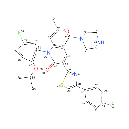 CC(C)=Cc1c(C(=O)N2CCNCC2)cc(-c2nc(-c3ccc(Cl)cc3)cs2)c(=O)n1-c1cc(F)ccc1OC(C)C